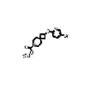 CC(C)(C)OC(=O)N1CCC2(CC1)CC(Oc1ccc(Br)cn1)C2